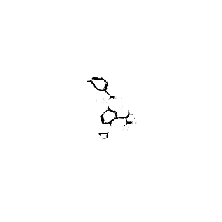 Cc1noc(C)c1-c1cc(NC(=O)c2cccc(F)c2)ccc1OC1CNC1